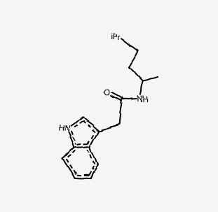 CC(C)CCC(C)NC(=O)Cc1c[nH]c2ccccc12